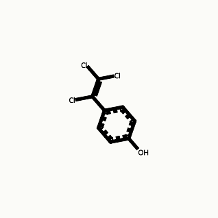 Oc1ccc(C(Cl)=C(Cl)Cl)cc1